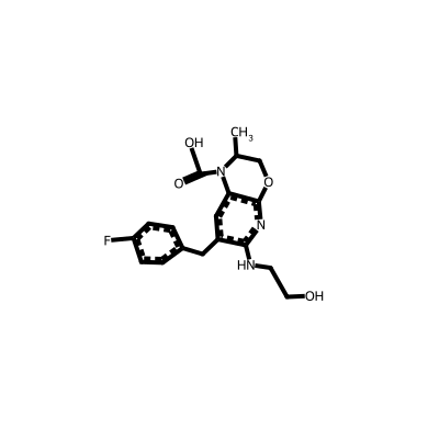 CC1COc2nc(NCCO)c(Cc3ccc(F)cc3)cc2N1C(=O)O